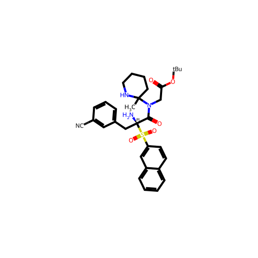 CC(C)(C)OC(=O)CN(C(=O)[C@@](N)(Cc1cccc(C#N)c1)S(=O)(=O)c1ccc2ccccc2c1)C1(C)CCCCN1